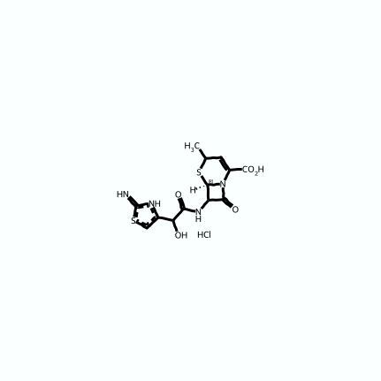 CC1C=C(C(=O)O)N2C(=O)C(NC(=O)C(O)c3csc(=N)[nH]3)[C@H]2S1.Cl